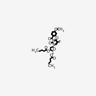 CCCCC(=O)OC[C@H]1O[C@@H](n2cc(F)c(=O)n(C(=O)c3ccc(OC)cc3)c2=O)C[C@@H]1OC(=O)CCCC